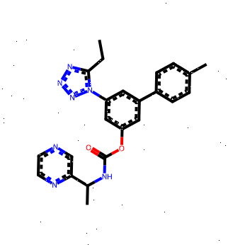 CCc1nnnn1-c1cc(OC(=O)NC(C)c2cnccn2)cc(-c2ccc(C)cc2)c1